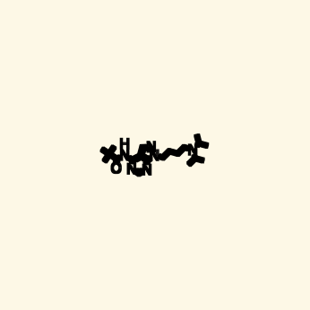 CC(C)N(CCCCn1ncc2c(NC(=O)C(C)(C)C)ncnc21)C(C)C